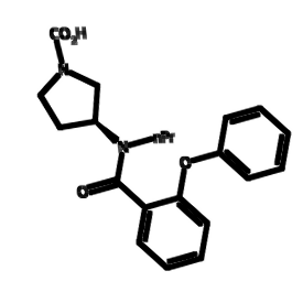 CCCN(C(=O)c1ccccc1Oc1ccccc1)[C@H]1CCN(C(=O)O)C1